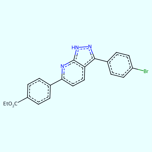 CCOC(=O)c1ccc(-c2ccc3c(-c4ccc(Br)cc4)n[nH]c3n2)cc1